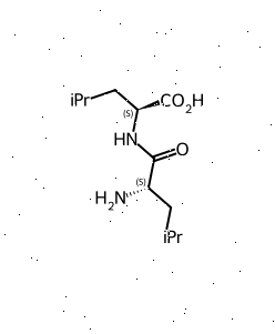 CC(C)C[C@H](NC(=O)[C@@H](N)CC(C)C)C(=O)O